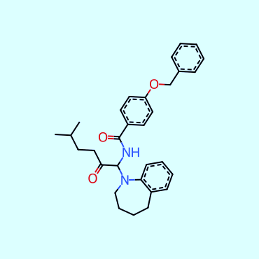 CC(C)CCC(=O)C(NC(=O)c1ccc(OCc2ccccc2)cc1)N1CCCCc2ccccc21